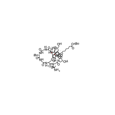 CC[C@H](C)[C@@H]1NC(=O)CNC(=O)[C@H]2Cc3c([nH]c4cc(OCCCCCC(=O)OC(C)(C)C)ccc34)[S@+]([O-])CC(NC(=O)CNC1=O)C(=O)N[C@@H](CC(N)=O)C(=O)N1CC(O)C[C@H]1C(=O)N[C@@H]([C@@H](C)[C@@H](O)CO)C(=O)N2